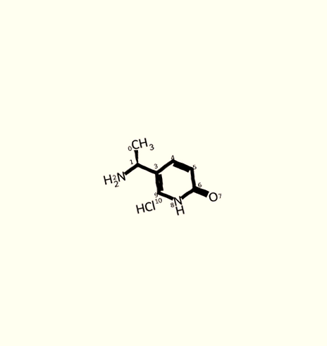 C[C@H](N)c1ccc(=O)[nH]c1.Cl